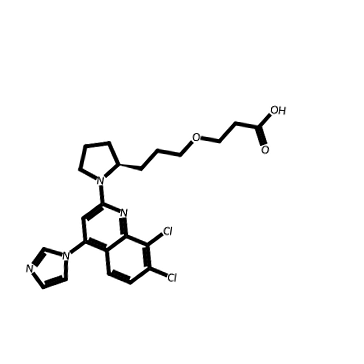 O=C(O)CCOCCC[C@@H]1CCCN1c1cc(-n2ccnc2)c2ccc(Cl)c(Cl)c2n1